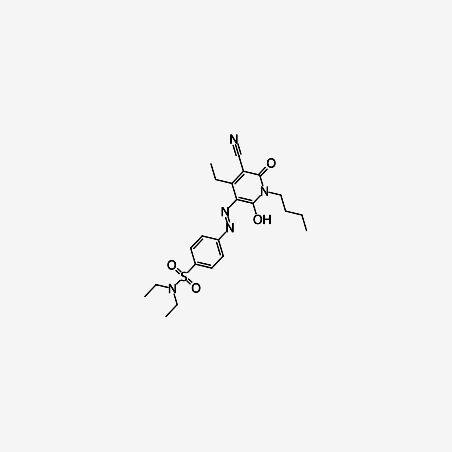 CCCCn1c(O)c(/N=N/c2ccc(S(=O)(=O)N(CC)CC)cc2)c(CC)c(C#N)c1=O